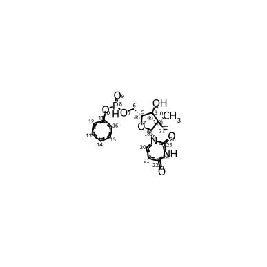 C[C@@]1(F)[C@H](O)[C@@H](CO[PH](=O)Oc2ccccc2)O[C@H]1n1ccc(=O)[nH]c1=O